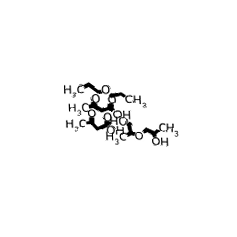 CC(=O)CC(=O)O.CC(=O)CC(=O)O.CC(O)COC(C)CO.CCCOCCC